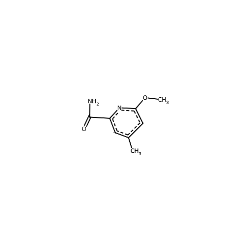 COc1cc(C)[c]c(C(N)=O)n1